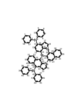 c1ccc(N(c2ccccc2)c2ccc3c4c2ccn4-c2c4c(cc5ccccc25)-n2ccc5c(N(c6ccccc6)c6ccccc6)c6ccccc6c(c52)B43)cc1